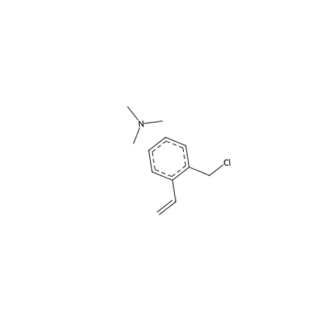 C=Cc1ccccc1CCl.CN(C)C